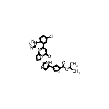 CC(C)OC(=O)c1cc(-c2cnc([C@@H]3CCc4nc(-c5cc(Cl)ccc5-n5cnnn5)cc(=O)n43)[nH]2)cs1